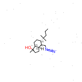 CCCC(C)(C)[C@H]1CC[C@@]2(C)[C@@H](CC[C@]2(C)O)[C@@H]1CN=[N+]=[N-]